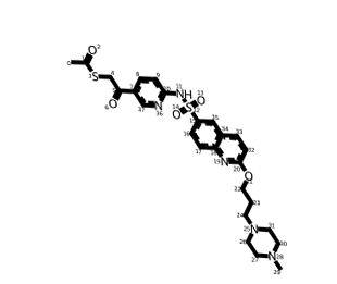 CC(=O)SCC(=O)c1ccc(NS(=O)(=O)c2ccc3nc(OCCCN4CCN(C)CC4)ccc3c2)nc1